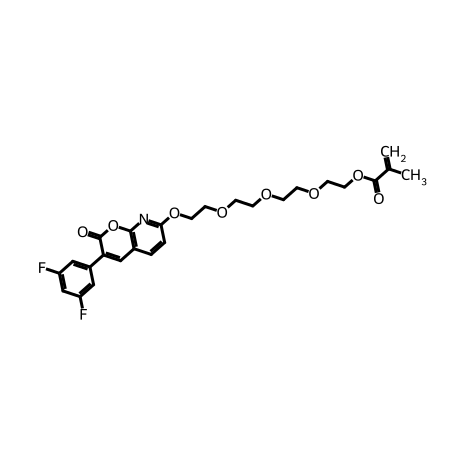 C=C(C)C(=O)OCCOCCOCCOCCOc1ccc2cc(-c3cc(F)cc(F)c3)c(=O)oc2n1